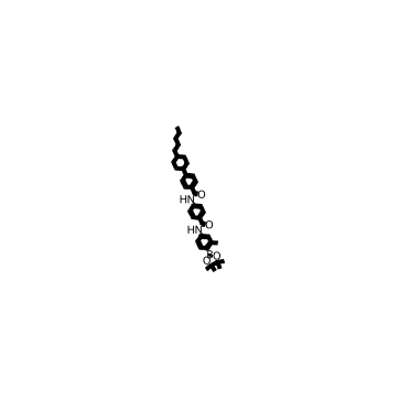 CCCCCC1CCC(c2ccc(C(=O)Nc3ccc(C(=O)Nc4ccc(B5OC(C)(C)C(C)(C)O5)c(C)c4)cc3)cc2)CC1